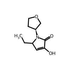 CCC1C=C(O)C(=O)N1[C@H]1CCOC1